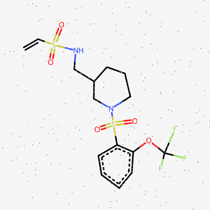 C=CS(=O)(=O)NCC1CCCN(S(=O)(=O)c2ccccc2OC(F)(F)F)C1